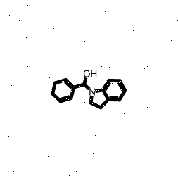 OC(C1=CCCC=C1)N1CCc2ccccc21